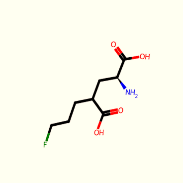 N[C@@H](CC(CCCF)C(=O)O)C(=O)O